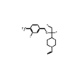 C=CC1CCC(C(F)(CF)OCc2ccc(C(F)(F)F)c(F)c2)CC1